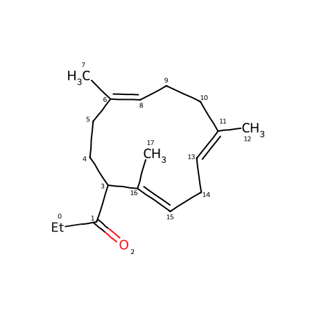 CCC(=O)C1CC/C(C)=C/CC/C(C)=C/C/C=C/1C